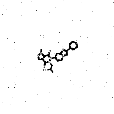 CC(O)Cn1c(=O)c2cnn(C)c2c(=O)n1-c1ccn2cc(-c3ccccc3)nc2c1